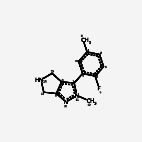 Cc1ccc(F)c(-c2c3c(nn2C)CNC3)c1